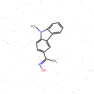 C/C(=N\O)c1ccc2c(c1)c1ccccc1n2C